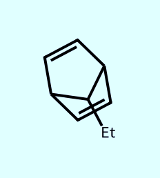 CCC1C2C=CC1C=C2